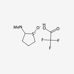 CNC1CCC[S+]1[O-].O=C(O)C(F)(F)F